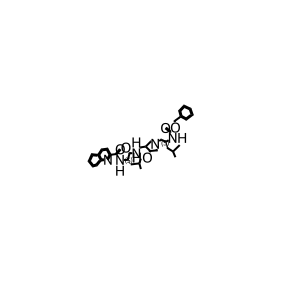 CC(C)C[C@@H](CN1CC(O)C(CNC(=O)[C@H](CC(C)C)NC(=O)c2ccc3ccccc3n2)C1)NC(=O)OCc1ccccc1